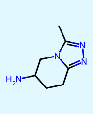 Cc1nnc2n1CC(N)CC2